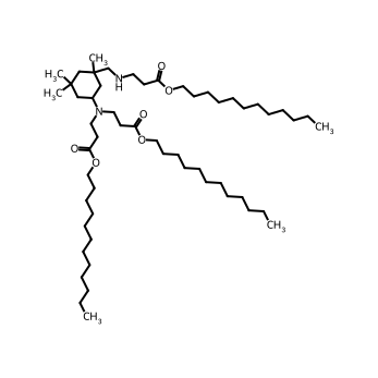 CCCCCCCCCCCCOC(=O)CCNCC1(C)CC(N(CCC(=O)OCCCCCCCCCCCC)CCC(=O)OCCCCCCCCCCCC)CC(C)(C)C1